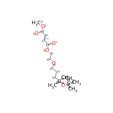 COC(=O)/C=C/C(=O)OCCOCCC[Si](C)(C)O[Si](C)(C)C